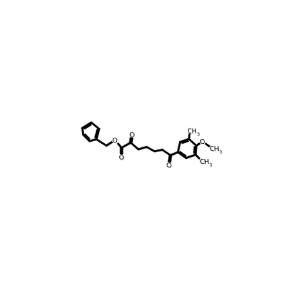 COc1c(C)cc(C(=O)CCCCC(=O)C(=O)OCc2ccccc2)cc1C